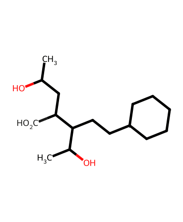 CC(O)CC(C(=O)O)C(CC[C]1CCCCC1)C(C)O